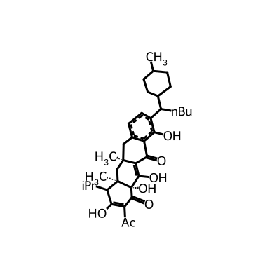 CCCCC(c1ccc2c(c1O)C(=O)C1=C(O)[C@@]3(O)C(=O)C(C(C)=O)=C(O)C(C(C)C)[C@@]3(C)C[C@@]1(C)C2)C1CCC(C)CC1